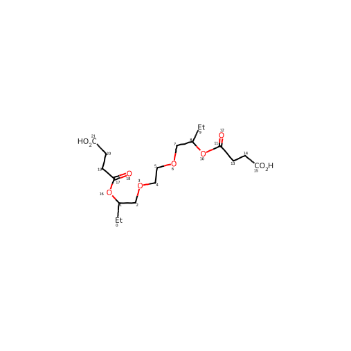 CCC(COCCOCC(CC)OC(=O)CCC(=O)O)OC(=O)CCC(=O)O